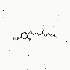 Bc1ccc(OCCCC(=O)OCC)c(F)c1